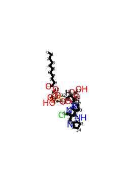 CCCCCCCCCCC(=O)OCOP(=O)(O)CS(=O)(=O)C[C@H]1O[C@@H](n2ccc3c(NC4CCCC4)c(C#N)c(Cl)nc32)[C@@H]2OC(O)O[C@@H]21